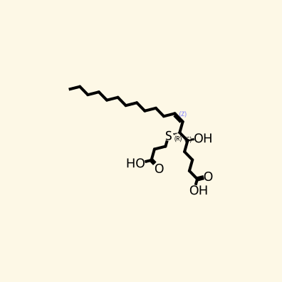 CCCCCCCCCCC/C=C\[C@@H](SCCC(=O)O)[C@@H](O)CCCC(=O)O